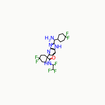 N[C@H](c1nc2nc(C3(C(=O)NC(F)C(F)F)CCC(F)(F)CC3)ccc2[nH]1)C1CCC(F)(F)CC1